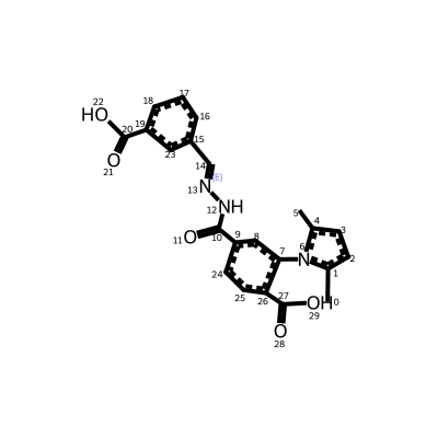 Cc1ccc(C)n1-c1cc(C(=O)N/N=C/c2cccc(C(=O)O)c2)ccc1C(=O)O